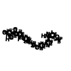 CC1(Oc2ccc3n[nH]c(-c4cc(N5CCC(O[C@H]6C[C@H](N7CC8(CCN(c9ccc%10c(c9F)CN(C9CCC(=O)NC9=O)C%10=O)CC8)C7)C6)CC5)ncn4)c3c2)CC1